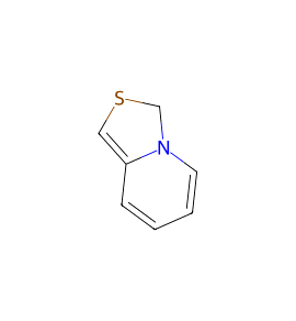 C1=CC2=CSCN2C=C1